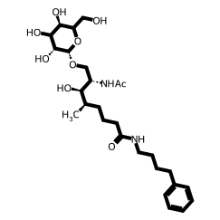 CC(=O)N[C@@H](CO[C@H]1OC(CO)[C@H](O)C(O)[C@H]1O)[C@H](O)[C@H](C)CCCC(=O)NCCCCc1ccccc1